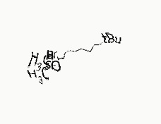 C[SiH](C)OC(Br)CCCCCCCC(C)(C)C